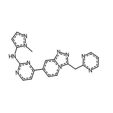 Cn1nccc1Nc1nccc(-c2ccn3c(Cc4ncccn4)nnc3c2)n1